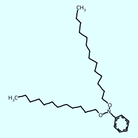 CCCCCCCCCCCCCCON(OCCCCCCCCCCCC)c1ccccc1